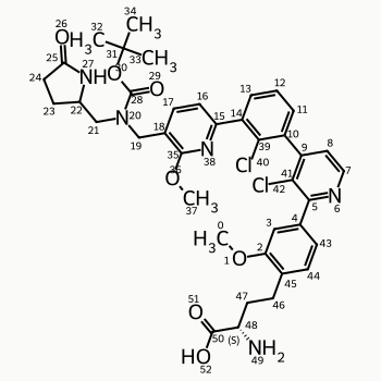 COc1cc(-c2nccc(-c3cccc(-c4ccc(CN(CC5CCC(=O)N5)C(=O)OC(C)(C)C)c(OC)n4)c3Cl)c2Cl)ccc1CC[C@H](N)C(=O)O